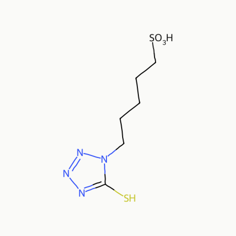 O=S(=O)(O)CCCCCn1nnnc1S